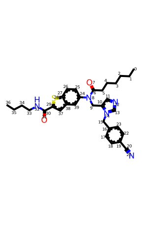 CCCCCCC(=O)N(Cc1cncn1Cc1ccc(C#N)cc1)c1ccc2sc(C(=O)NCCCC)cc2c1